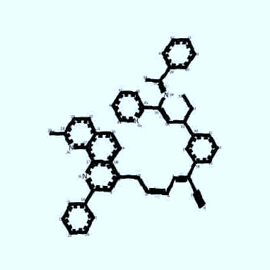 C#C/C(=C\C=C/Cc1cc(-c2ccccc2)nc2c1ccc1ccc(C)nc12)c1cccc(C(/C=C(\N=C(/C)c2ccccc2)c2ccccn2)CC)c1